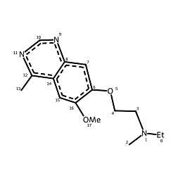 CCN(C)CCOc1cc2ncnc(C)c2cc1OC